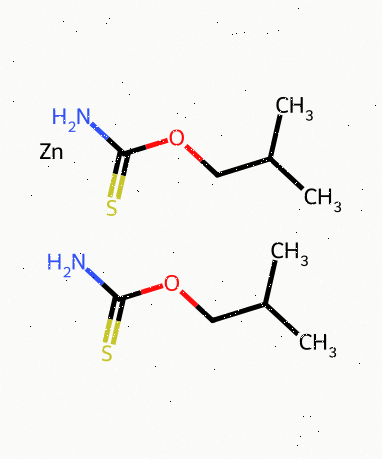 CC(C)COC(N)=S.CC(C)COC(N)=S.[Zn]